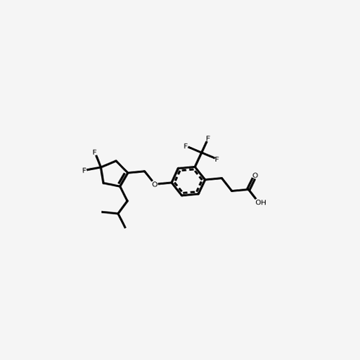 CC(C)CC1=C(COc2ccc(CCC(=O)O)c(C(F)(F)F)c2)CC(F)(F)C1